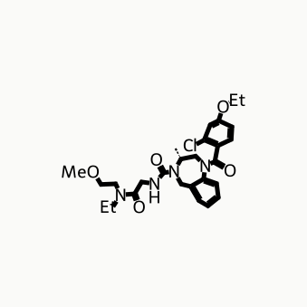 CCOc1ccc(C(=O)N2C[C@@H](C)N(C(=O)NCC(=O)N(CC)CCOC)Cc3ccccc32)c(Cl)c1